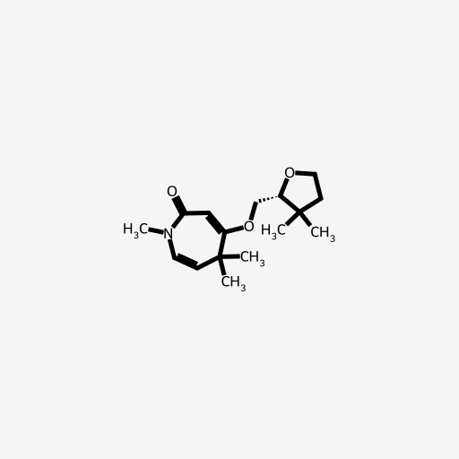 CN1C=CC(C)(C)C(OC[C@@H]2OCCC2(C)C)=CC1=O